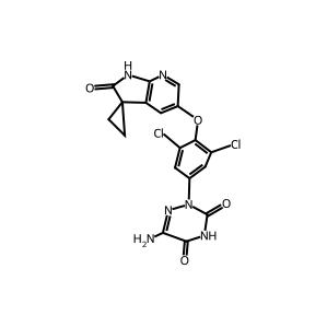 Nc1nn(-c2cc(Cl)c(Oc3cnc4c(c3)C3(CC3)C(=O)N4)c(Cl)c2)c(=O)[nH]c1=O